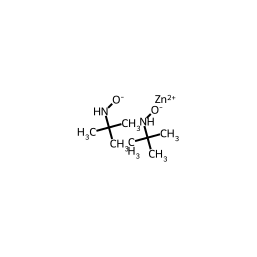 CC(C)(C)N[O-].CC(C)(C)N[O-].[Zn+2]